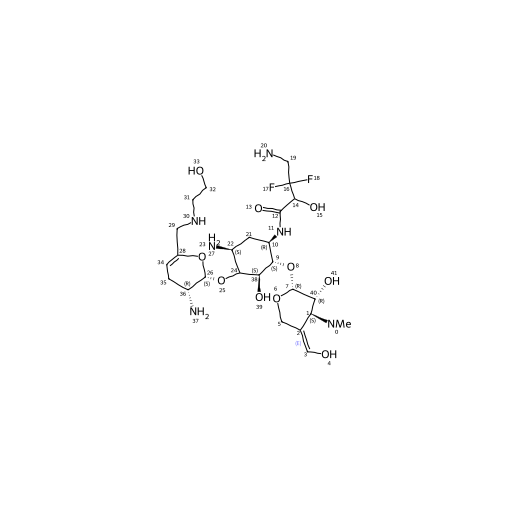 CN[C@H]1/C(=C\O)CO[C@H](O[C@H]2[C@H](NC(=O)C(O)C(F)(F)CN)C[C@H](N)C(O[C@H]3OC(CNCCO)=CC[C@H]3N)[C@@H]2O)[C@@H]1O